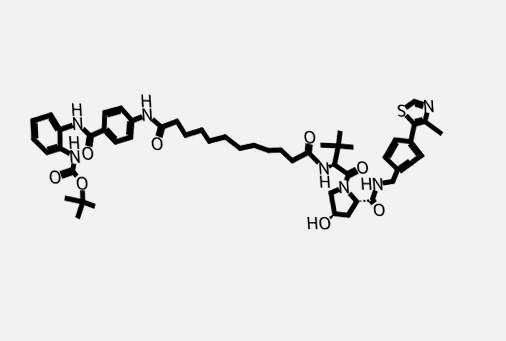 Cc1ncsc1-c1ccc(CNC(=O)[C@@H]2C[C@H](O)CN2C(=O)[C@@H](NC(=O)CCCCCCCCCCC(=O)Nc2ccc(C(=O)Nc3ccccc3NC(=O)OC(C)(C)C)cc2)C(C)(C)C)cc1